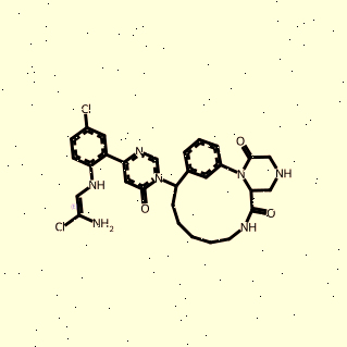 N/C(Cl)=C\Nc1ccc(Cl)cc1-c1cc(=O)n(C2CCCCCNC(=O)C3CNCC(=O)N3c3cccc2c3)cn1